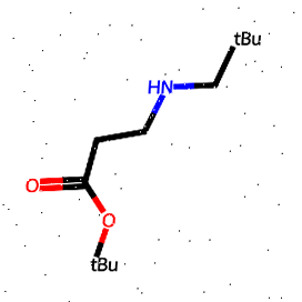 CC(C)(C)CNCCC(=O)OC(C)(C)C